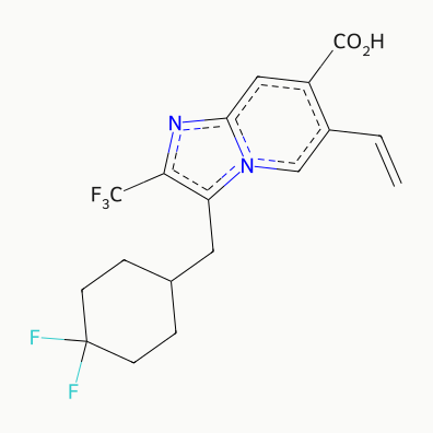 C=Cc1cn2c(CC3CCC(F)(F)CC3)c(C(F)(F)F)nc2cc1C(=O)O